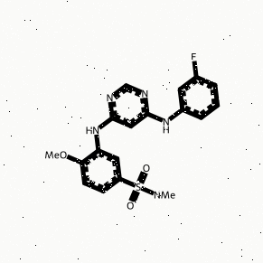 CNS(=O)(=O)c1ccc(OC)c(Nc2cc(Nc3cccc(F)c3)ncn2)c1